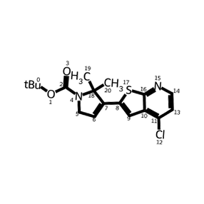 CC(C)(C)OC(=O)N1CC=C(c2cc3c(Cl)ccnc3s2)C1(C)C